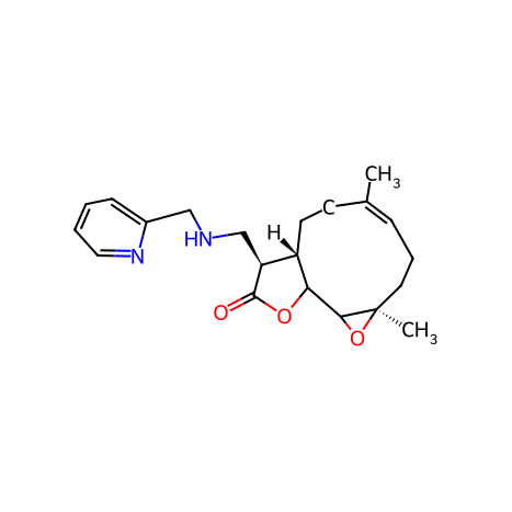 C/C1=C/CC[C@@]2(C)OC2C2OC(=O)[C@@H](CNCc3ccccn3)[C@@H]2CC1